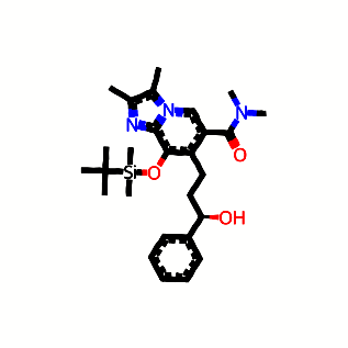 Cc1nc2c(O[Si](C)(C)C(C)(C)C)c(CC[C@@H](O)c3ccccc3)c(C(=O)N(C)C)cn2c1C